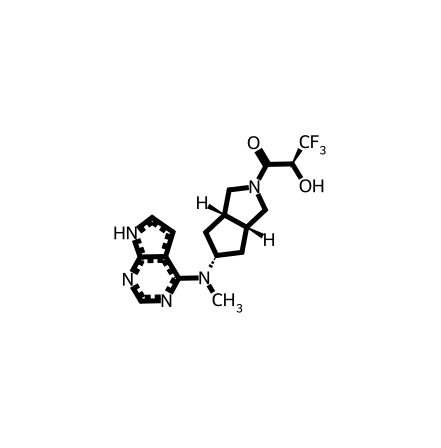 CN(c1ncnc2[nH]ccc12)[C@@H]1C[C@@H]2CN(C(=O)[C@H](O)C(F)(F)F)C[C@@H]2C1